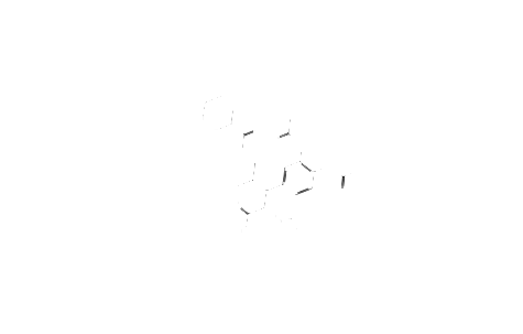 CC(=O)Oc1ccc(C(C(C)COC(=O)C2CCCCC2)[C@H](N)C(=O)O)cc1OC(C)=O